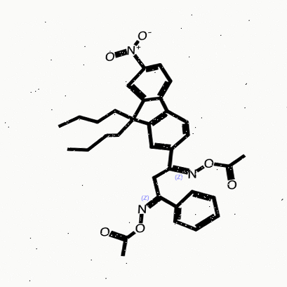 CCCCC1(CCCC)c2cc(/C(C/C(=N/OC(C)=O)c3ccccc3)=N\OC(C)=O)ccc2-c2ccc([N+](=O)[O-])cc21